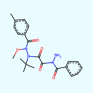 CON(C(=O)c1ccc(C)cc1)N(C(=O)C(=O)N(N)C(=O)c1ccccc1)C(C)(C)C